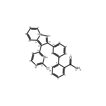 NC(=O)c1ccccc1-c1cccc(-c2nn3ccccc3c2-c2ccnc(Cl)n2)c1